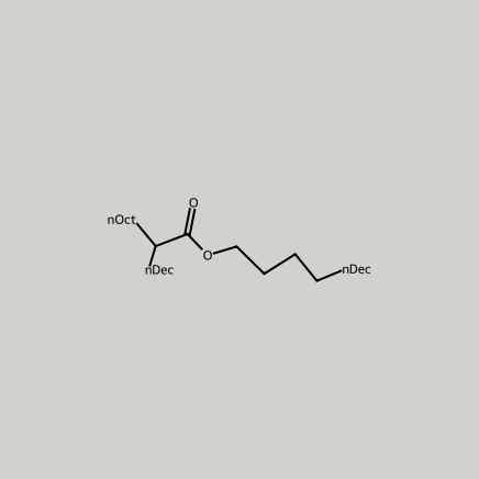 CCCCCCCCCCCCCCOC(=O)C(CCCCCCCC)CCCCCCCCCC